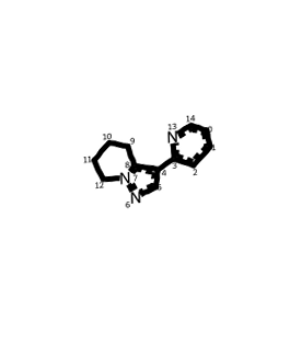 c1ccc(-c2cnn3c2CCCC3)nc1